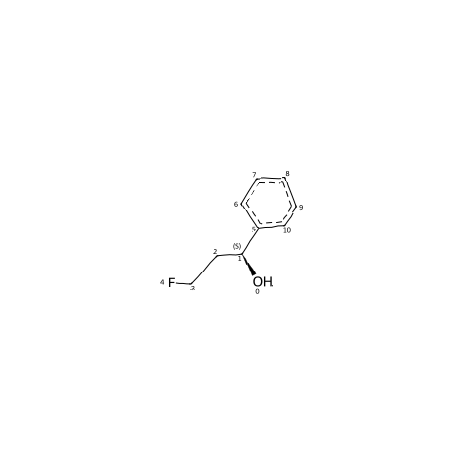 O[C@@H](CCF)c1ccccc1